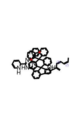 C=C(/C=C\C=C/C)c1ccc2c(c1O)C1(c3ccccc3C3(c4ccccc4-c4ccccc43)c3ccccc31)c1c-2cccc1C1N=C(c2ccccn2)N=C(C2C=CC=CN2)N1